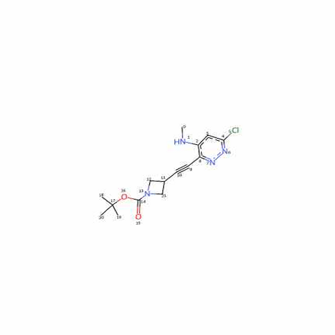 CNc1cc(Cl)nnc1C#CC1CN(C(=O)OC(C)(C)C)C1